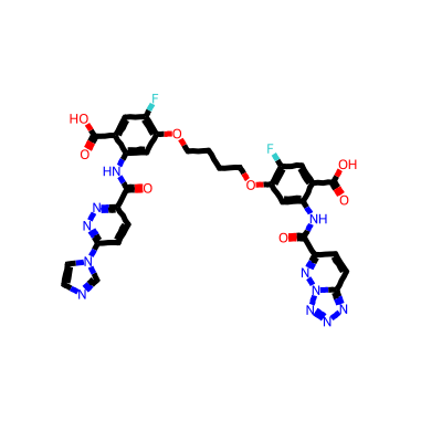 O=C(Nc1cc(OCCCCOc2cc(NC(=O)c3ccc4nnnn4n3)c(C(=O)O)cc2F)c(F)cc1C(=O)O)c1ccc(-n2ccnc2)nn1